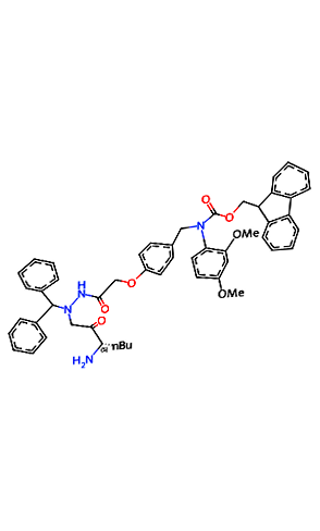 CCCC[C@H](N)C(=O)CN(NC(=O)COc1ccc(CN(C(=O)OCC2c3ccccc3-c3ccccc32)c2ccc(OC)cc2OC)cc1)C(c1ccccc1)c1ccccc1